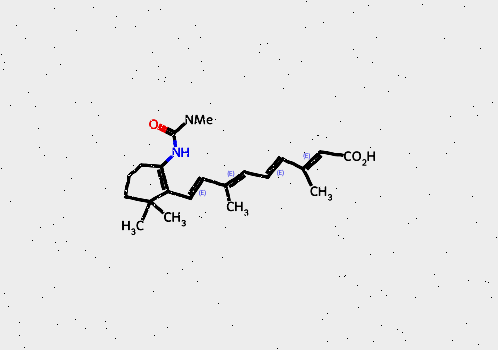 CNC(=O)NC1=C(/C=C/C(C)=C/C=C/C(C)=C/C(=O)O)C(C)(C)CCC1